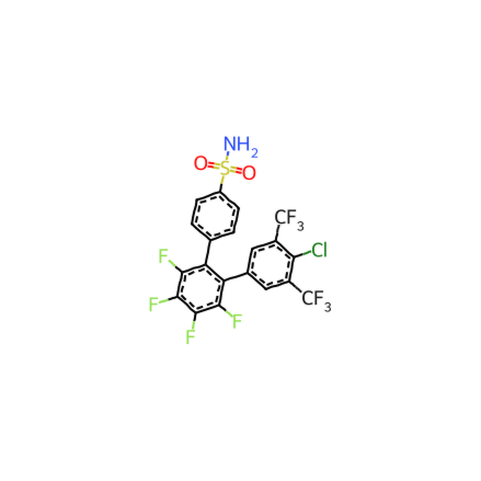 NS(=O)(=O)c1ccc(-c2c(F)c(F)c(F)c(F)c2-c2cc(C(F)(F)F)c(Cl)c(C(F)(F)F)c2)cc1